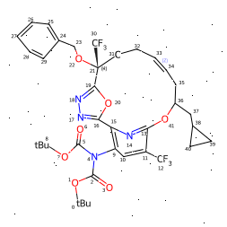 CC(C)(C)OC(=O)N(C(=O)OC(C)(C)C)c1cc(C(F)(F)F)c2nc1-c1nnc(o1)[C@@](OCc1ccccc1)(C(F)(F)F)CC/C=C\CC(CC1CC1)O2